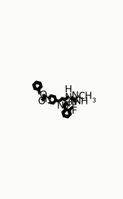 Cc1nc(Nc2cc(C3CCN(C(=O)OCc4ccccc4)CC3)nc(-c3ccccc3C(F)(F)F)n2)n[nH]1